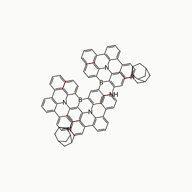 c1ccc(-c2cccc(-c3ccccc3)c2N2c3ccccc3B3c4cc5c(cc4Nc4cc(N6CC7CC8CC7CC6C8)cc2c43)N(c2c(-c3ccccc3)cccc2-c2ccccc2)c2cc(N3CC4CC6CC4CC3C6)cc3c2B5c2ccccc2N3c2c(-c3ccccc3)cccc2-c2ccccc2)cc1